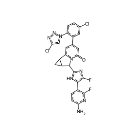 Nc1ccc(-c2[nH]c(C3C4CC4c4cc(-c5cc(Cl)ccc5-n5cc(Cl)nn5)cc(=O)n43)nc2F)c(F)n1